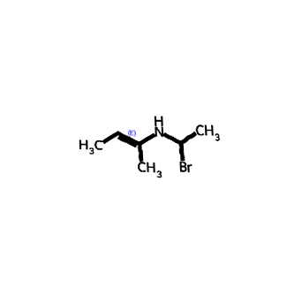 C/C=C(\C)NC(C)Br